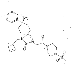 CN(C)[C@]1(c2ccccc2)CC[C@]2(CC1)CN(CC(=O)N1CCN(S(C)(=O)=O)CC1)C(=O)N2CC1CCC1